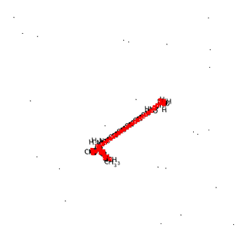 Cc1nc(C2CCC(N3C[C@H](/C(N)=C/N(N)CCOCCOCCOCCOCCOCCOCCOCCOCCOCCOCCOCCNC(=O)CCCC[C@@H]4SC[C@@H]5NC(=O)N[C@@H]54)OC[C@@H]3Cc3ccc(Cl)cc3)CC2)sc1C